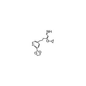 N=C/C=C(\CCCC1=C/CC/C=C(C2OCCO2)/C=C\1)OC1CC1